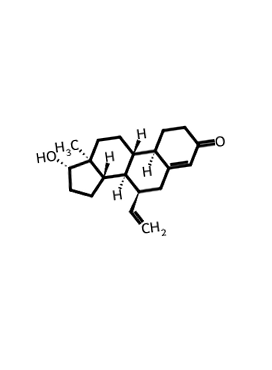 C=C[C@@H]1CC2=CC(=O)CC[C@@H]2[C@H]2CC[C@]3(C)[C@@H](O)CC[C@H]3[C@@H]21